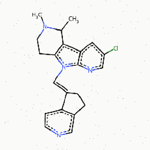 CC1c2c(n(/C=C3\CCc4cnccc43)c3ncc(Cl)cc23)CCN1C